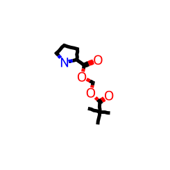 CC(C)(C)C(=O)OCOC(=O)C1CCC[N]1